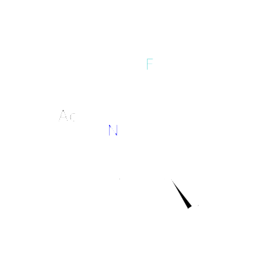 CC(=O)N1C[C@H](C)C[C@H]1F